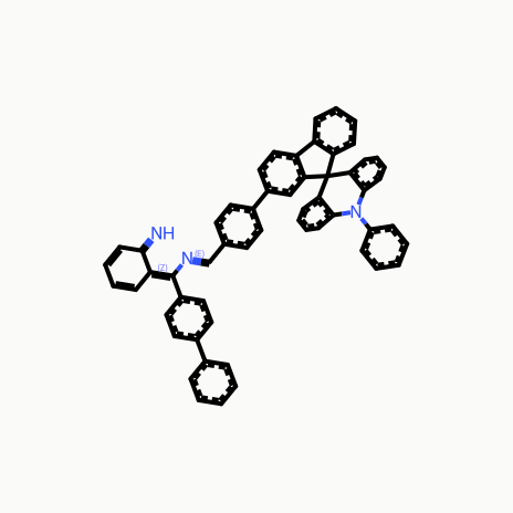 N=C1C=CC=C/C1=C(/N=C/c1ccc(-c2ccc3c(c2)C2(c4ccccc4-3)c3ccccc3N(c3ccccc3)c3ccccc32)cc1)c1ccc(-c2ccccc2)cc1